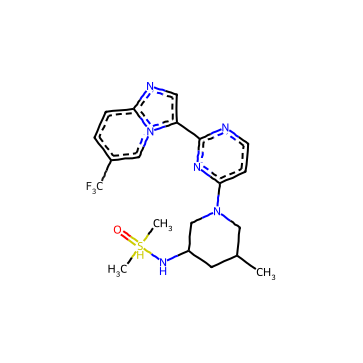 CC1CC(N[SH](C)(C)=O)CN(c2ccnc(-c3cnc4ccc(C(F)(F)F)cn34)n2)C1